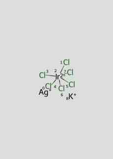 [Ag+].[Cl][Ir-2]([Cl])([Cl])([Cl])([Cl])[Cl].[K+]